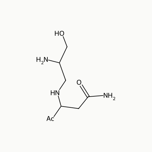 CC(=O)C(CC(N)=O)NCC(N)CO